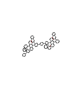 c1ccc(-c2cccc3c2oc2cccc(-c4c5ccccc5c(-c5ccc(-c6ccc(-c7ccc(-c8c9ccccc9c(-c9ccccc9-c9ccc%10ccccc%10c9)c9ccccc89)c8c7oc7ccccc78)cc6)cc5-c5ccc6ccccc6c5)c5ccccc45)c23)cc1